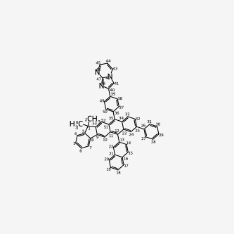 CC1(C)c2ccccc2-c2cc3c(-c4ccc5ccccc5c4)c4cc(-c5ccccc5)ccc4c(-c4ccc(-c5cn6cccnc6n5)cc4)c3cc21